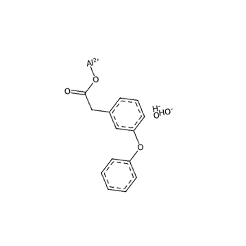 O=C(Cc1cccc(Oc2ccccc2)c1)[O][Al+2].[OH-].[OH-]